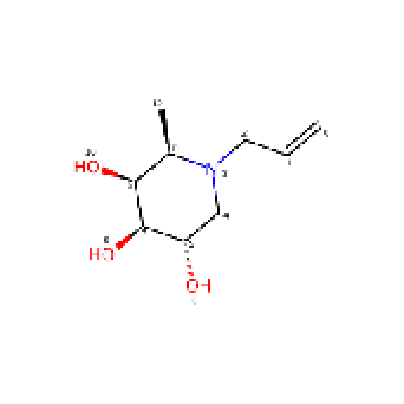 C=CCN1C[C@H](O)[C@@H](O)[C@@H](O)[C@H]1C